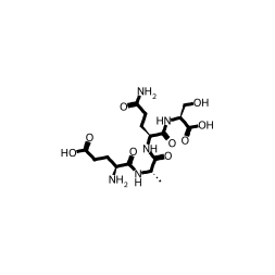 C[C@H](NC(=O)[C@@H](N)CCC(=O)O)C(=O)N[C@@H](CCC(N)=O)C(=O)N[C@@H](CO)C(=O)O